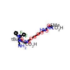 CSC(CC(=O)O)C(=O)NCC(=O)NCCOCCOCCOCCOCCC(=O)N[C@@H](CSCC(=O)N(CCCN)[C@@H](c1cc(-c2cc(F)ccc2F)cn1Cc1ccccc1)C(C)(C)C)C(=O)O